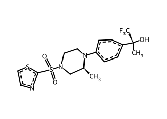 C[C@H]1CN(S(=O)(=O)c2nccs2)CCN1c1ccc([C@@](C)(O)C(F)(F)F)cc1